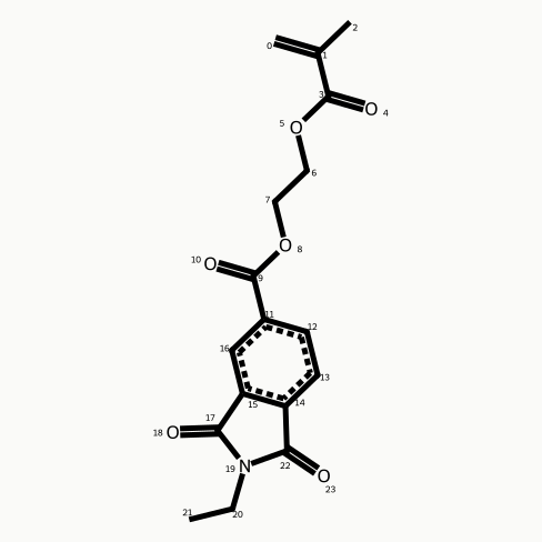 C=C(C)C(=O)OCCOC(=O)c1ccc2c(c1)C(=O)N(CC)C2=O